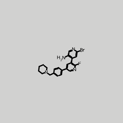 Nc1cnc(Br)cc1-c1cc(-c2ccc(CN3CCCCC3)cc2)cnc1F